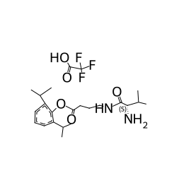 CC(C)c1cccc(C(C)C)c1OC(=O)CCCNC(=O)[C@@H](N)C(C)C.O=C(O)C(F)(F)F